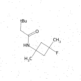 CC(C)(C)CC(=O)NC1(C)CC(C)(F)C1